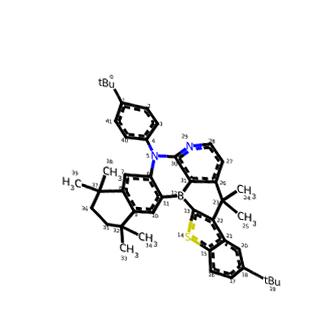 CC(C)(C)c1ccc(N2c3cc4c(cc3B3c5sc6ccc(C(C)(C)C)cc6c5C(C)(C)c5ccnc2c53)C(C)(C)CCC4(C)C)cc1